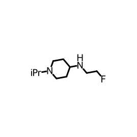 CC(C)N1CCC(NCCF)CC1